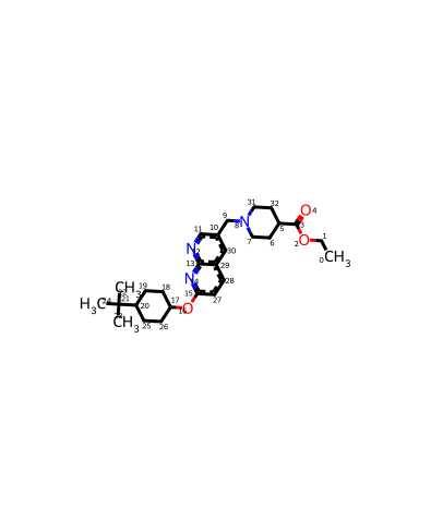 CCOC(=O)C1CCN(Cc2cnc3nc(OC4CCC(C(C)(C)C)CC4)ccc3c2)CC1